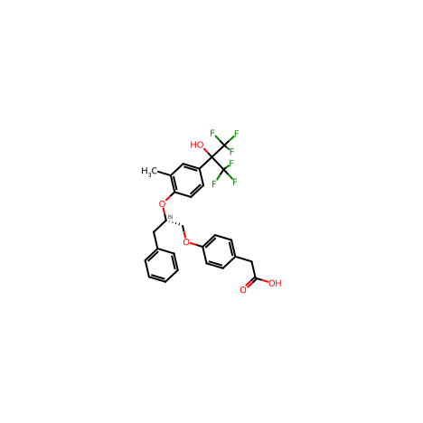 Cc1cc(C(O)(C(F)(F)F)C(F)(F)F)ccc1O[C@H](COc1ccc(CC(=O)O)cc1)Cc1ccccc1